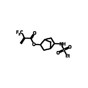 C=C(C(=O)OC1CC2CC1CC2NS(=O)(=O)CC)C(F)(F)F